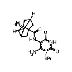 CCCn1c(N)c(NC(=O)C23CC4C[C@H]2C[C@H](C3)[C@H]4O)c(=O)[nH]c1=O